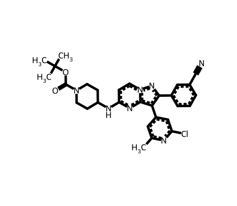 Cc1cc(-c2c(-c3cccc(C#N)c3)nn3ccc(NC4CCN(C(=O)OC(C)(C)C)CC4)nc23)cc(Cl)n1